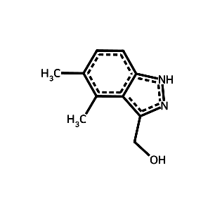 Cc1ccc2[nH]nc(CO)c2c1C